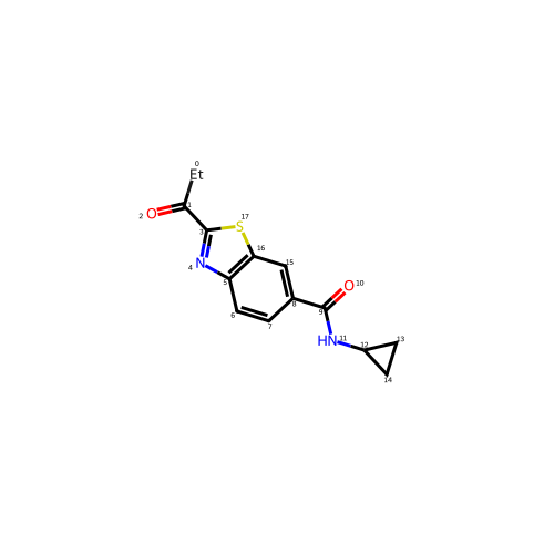 CCC(=O)c1nc2ccc(C(=O)NC3CC3)cc2s1